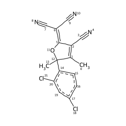 CC1=C(C#N)C(=C(C#N)C#N)OC1(C)c1ccc(Cl)cc1Cl